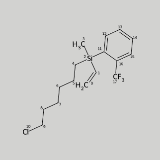 C=C[Si](C)(CCCCCCCl)c1ccccc1C(F)(F)F